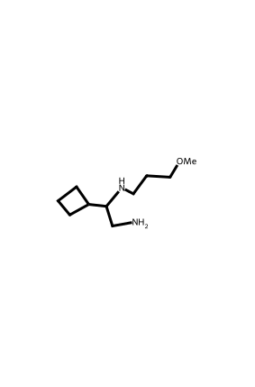 COCCCNC(CN)C1CCC1